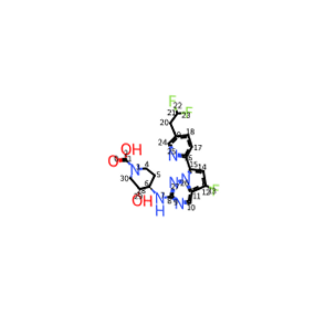 O=C(O)N1CC[C@@H](Nc2ncc3c(F)cc(-c4ccc(CC(F)F)cn4)n3n2)[C@H](O)C1